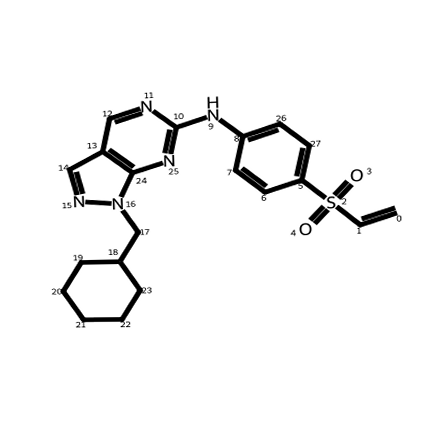 C=CS(=O)(=O)c1ccc(Nc2ncc3cnn(CC4CCCCC4)c3n2)cc1